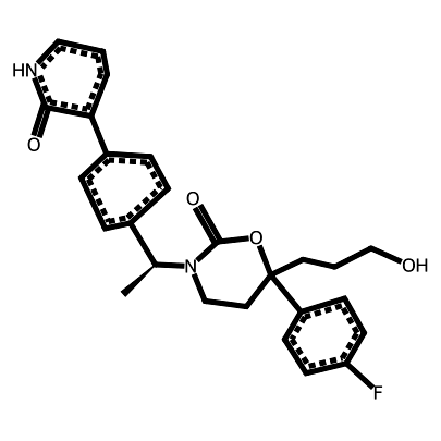 C[C@@H](c1ccc(-c2ccc[nH]c2=O)cc1)N1CCC(CCCO)(c2ccc(F)cc2)OC1=O